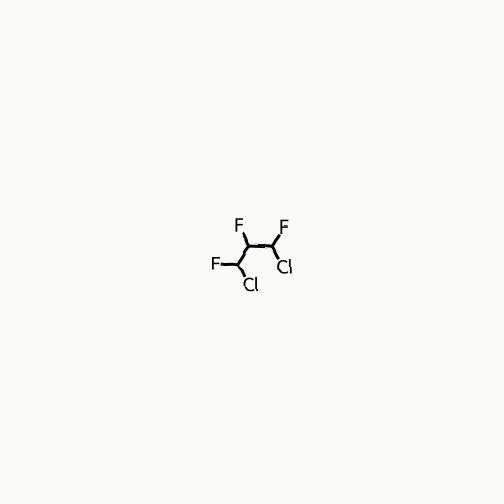 FC(Cl)C(F)C(F)Cl